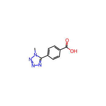 Cn1nnnc1-c1ccc(C(=O)O)cc1